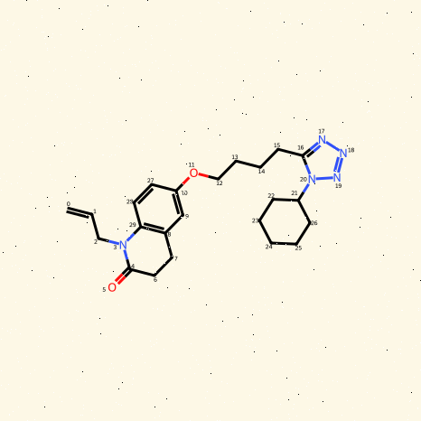 C=CCN1C(=O)CCc2cc(OCCCCc3nnnn3C3CCCCC3)ccc21